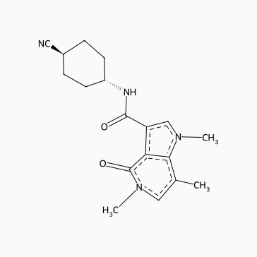 Cc1cn(C)c(=O)c2c(C(=O)N[C@H]3CC[C@H](C#N)CC3)cn(C)c12